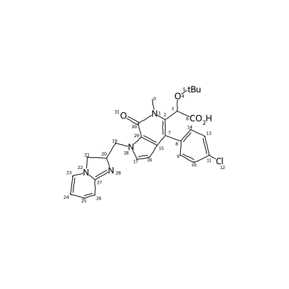 Cn1c(C(OC(C)(C)C)C(=O)O)c(-c2ccc(Cl)cc2)c2ccn(CC3CN4C=CC=CC4=N3)c2c1=O